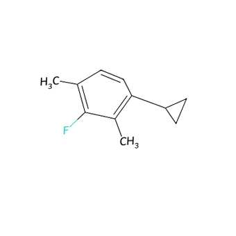 Cc1ccc(C2CC2)c(C)c1F